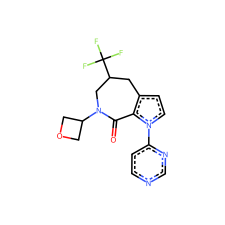 O=C1c2c(ccn2-c2ccncn2)CC(C(F)(F)F)CN1C1COC1